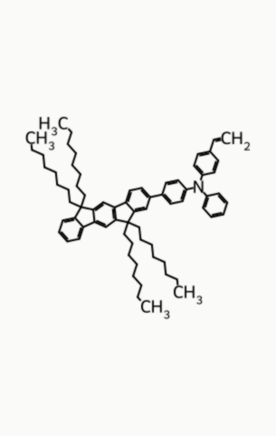 C=Cc1ccc(N(c2ccccc2)c2ccc(-c3ccc4c(c3)C(CCCCCCCC)(CCCCCCCC)c3cc5c(cc3-4)C(CCCCCCCC)(CCCCCCCC)c3ccccc3-5)cc2)cc1